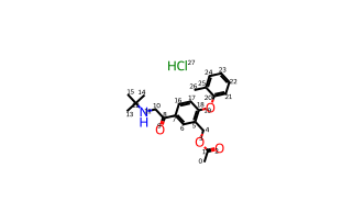 CC(=O)OCc1cc(C(=O)CNC(C)(C)C)ccc1Oc1ccccc1C.Cl